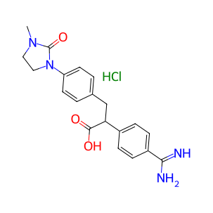 CN1CCN(c2ccc(CC(C(=O)O)c3ccc(C(=N)N)cc3)cc2)C1=O.Cl